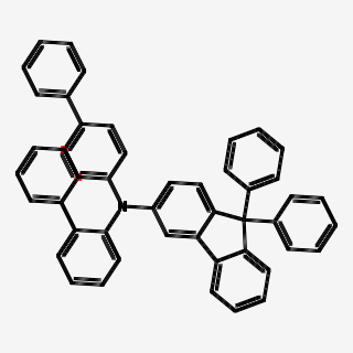 c1ccc(-c2ccc(N(c3ccc4c(c3)-c3ccccc3C4(c3ccccc3)c3ccccc3)c3ccccc3-c3ccccc3)cc2)cc1